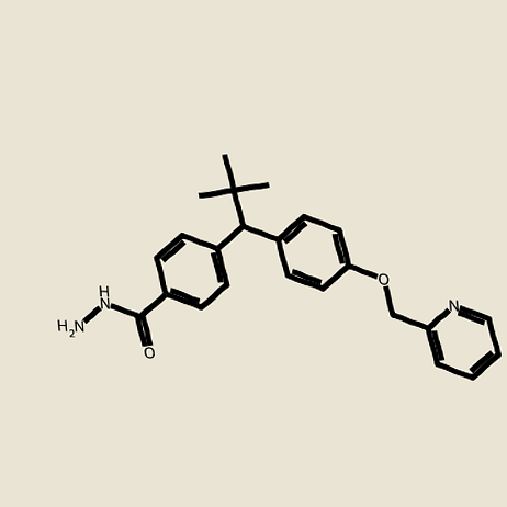 CC(C)(C)C(c1ccc(OCc2ccccn2)cc1)c1ccc(C(=O)NN)cc1